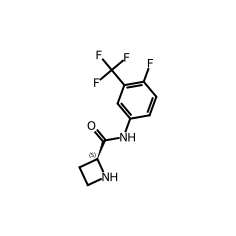 O=C(Nc1ccc(F)c(C(F)(F)F)c1)[C@@H]1CCN1